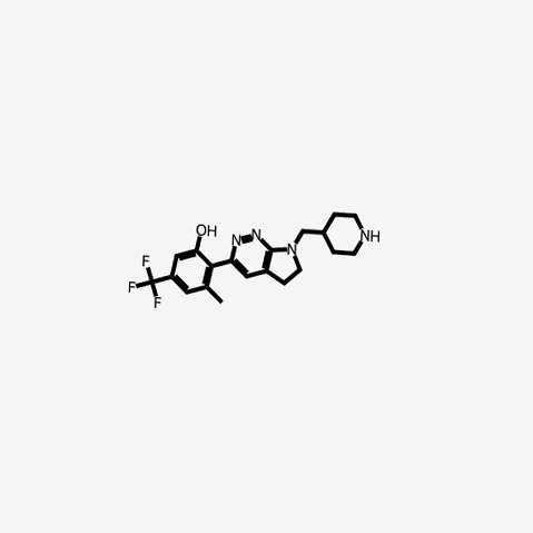 Cc1cc(C(F)(F)F)cc(O)c1-c1cc2c(nn1)N(CC1CCNCC1)CC2